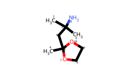 CC(C)(N)CC1(C)OCCO1